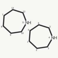 C1CCCNCC1.C1CCCNCC1